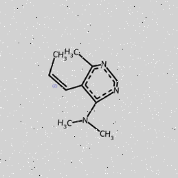 C/C=C\c1c(C)ncnc1N(C)C